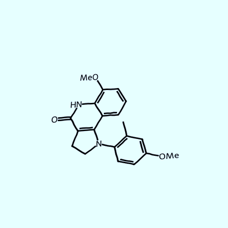 COc1ccc(N2CCc3c2c2cccc(OC)c2[nH]c3=O)c(C)c1